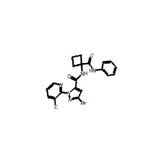 O=C(NC1(C(=O)Nc2ccccc2)CCC1)c1cc(Br)nn1-c1ncccc1Cl